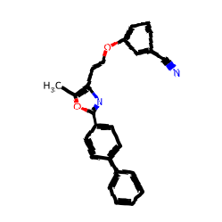 Cc1oc(-c2ccc(-c3ccccc3)cc2)nc1CCOc1[c]c(C#N)ccc1